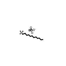 CCCCCCCCCCCC[N+](C)(C)C.[O]=[Re](=[O])(=[O])[O-]